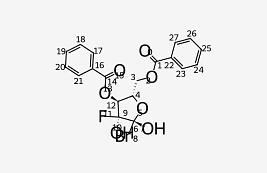 O=C(OC[C@@H]1O[C@](O)(Br)[C@@](O)(F)[C@H]1OC(=O)c1ccccc1)c1ccccc1